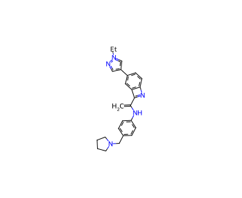 C=C(Nc1ccc(CN2CCCC2)cc1)C1=Nc2ccc(-c3cnn(CC)c3)cc21